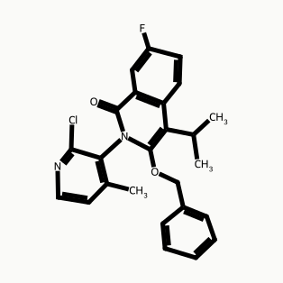 Cc1ccnc(Cl)c1-n1c(OCc2ccccc2)c(C(C)C)c2ccc(F)cc2c1=O